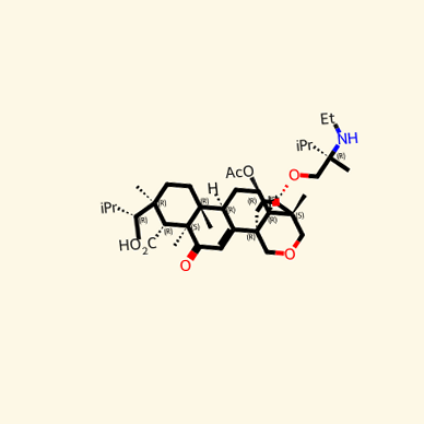 CCN[C@@](C)(CO[C@H]1[C@H](OC(C)=O)C[C@@]23COC[C@]1(C)[C@@H]2CC[C@H]1C3=CC(=O)[C@@]2(C)[C@H](C(=O)O)[C@@](C)([C@H](C)C(C)C)CC[C@]12C)C(C)C